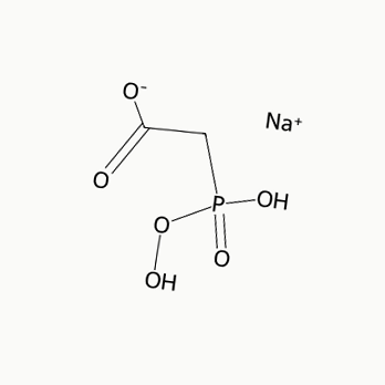 O=C([O-])CP(=O)(O)OO.[Na+]